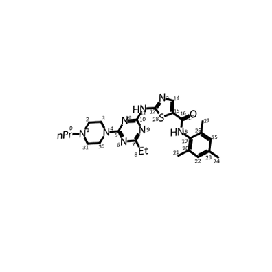 CCCN1CCN(c2nc(CC)nc(Nc3ncc(C(=O)Nc4c(C)cc(C)cc4C)s3)n2)CC1